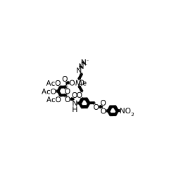 COC(=O)[C@H]1O[C@@H](OC(=O)Nc2ccc(COC(=O)Oc3ccc([N+](=O)[O-])cc3)cc2OCCOCCN=[N+]=[N-])C(OC(C)=O)C(OC(C)=O)C1OC(C)=O